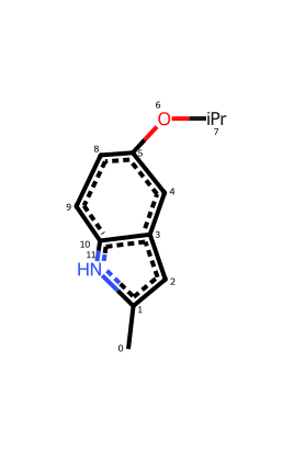 Cc1cc2cc(OC(C)C)ccc2[nH]1